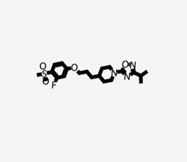 CC(C)c1noc(N2CCC(CCCOc3ccc(S(C)(=O)=O)c(F)c3)CC2)n1